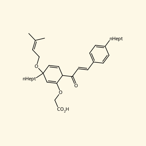 CCCCCCCc1ccc(/C=C/C(=O)C2C=CC(CCCCCCC)(OCC=C(C)C)C=C2OCC(=O)O)cc1